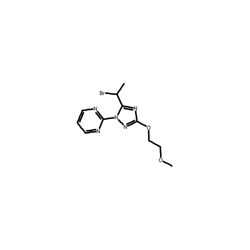 COCCOc1nc(C(C)Br)n(-c2ncccn2)n1